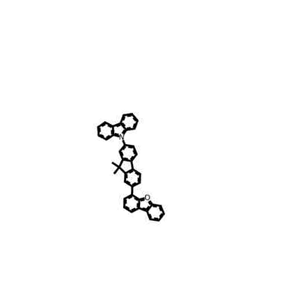 CC1(C)c2cc(-c3cccc4c3oc3ccccc34)ccc2-c2ccc(-n3c4ccccc4c4ccccc43)cc21